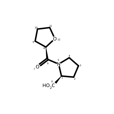 O=C(O)[C@@H]1CCCN1C(=O)[C@H]1CCCO1